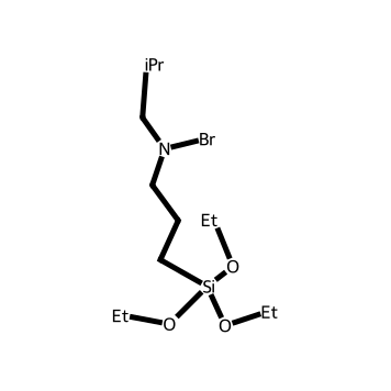 CCO[Si](CCCN(Br)CC(C)C)(OCC)OCC